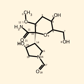 COC1CC(O)C(CO)OC1(C(N)=O)[C@@H]1CN(C=O)C[C@@H]1O